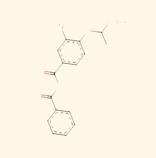 CCCCCCC(C)Oc1ccc(C(=O)OC(=O)c2ccccc2)cc1[N+](=O)[O-]